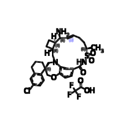 C[C@@H]1CC/C=C/[C@H](N)[C@@H]2CC[C@H]2CN2C[C@@]3(CCCc4cc(Cl)ccc43)COc3ccc(cc32)C(=O)NS1(=O)=O.O=C(O)C(F)(F)F